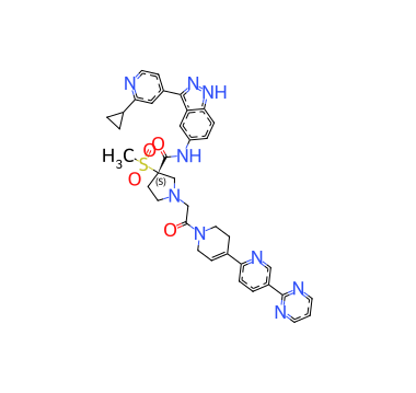 CS(=O)(=O)[C@@]1(C(=O)Nc2ccc3[nH]nc(-c4ccnc(C5CC5)c4)c3c2)CCN(CC(=O)N2CC=C(c3ccc(-c4ncccn4)cn3)CC2)C1